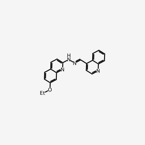 CCOc1ccc2ccc(NN=Cc3ccnc4ccccc34)nc2c1